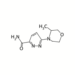 CC1COCCN1c1ccc(C(N)=O)nn1